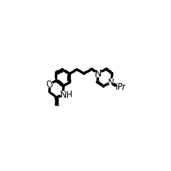 C=C1COc2ccc(CCCN3CCN(C(C)C)CC3)cc2N1